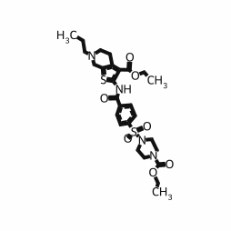 CCCN1CCc2c(sc(NC(=O)c3ccc(S(=O)(=O)N4CCN(C(=O)OCC)CC4)cc3)c2C(=O)OCC)C1